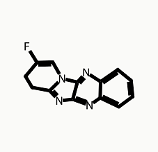 FC1=Cn2c(nc3nc4ccccc4nc32)CC1